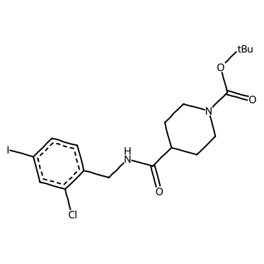 CC(C)(C)OC(=O)N1CCC(C(=O)NCc2ccc(I)cc2Cl)CC1